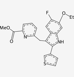 CCOc1cc2[nH]c(-c3ccsc3)c(Cc3cccc(C(=O)OC)n3)c2cc1F